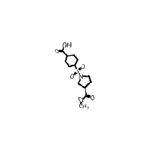 COC(=O)[C@@H]1CCN(S(=O)(=O)C2CCC(C(=O)O)CC2)C1